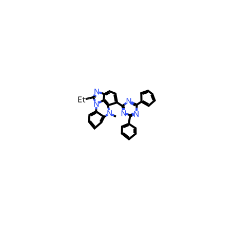 CCc1nc2ccc(-c3nc(-c4ccccc4)nc(-c4ccccc4)n3)c3c2n1-c1ccccc1N3C